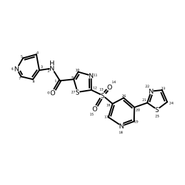 O=C(Nc1ccncc1)c1cnc(S(=O)(=O)c2cncc(-c3nccs3)c2)s1